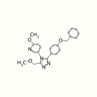 COCc1nnc(-c2ccc(OCc3ccccc3)cc2)n1-c1ccc(OC)nc1